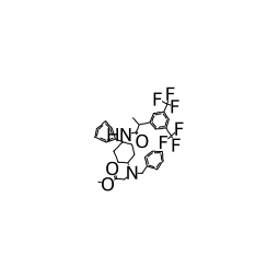 COC(=O)CN(Cc1ccccc1)[C@H]1CC[C@](NC(=O)C(C)c2cc(C(F)(F)F)cc(C(F)(F)F)c2)(c2ccccc2)CC1